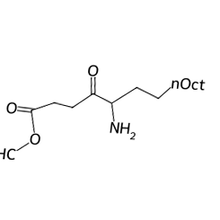 CCCCCCCCCCC(N)C(=O)CCC(=O)OC=O